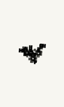 C[C@@H](Nc1ncnc2[nH]cnc12)c1nc2ccc(F)cc2n1[C@@H]1CCCN(CCO)C1